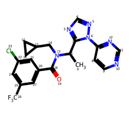 CC(c1ncnn1-c1ccncn1)N(CC1CC1)C(=O)c1cc(Cl)cc(C(F)(F)F)c1